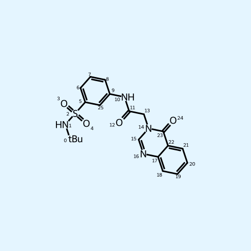 CC(C)(C)NS(=O)(=O)c1cccc(NC(=O)Cn2cnc3ccccc3c2=O)c1